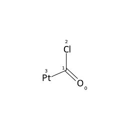 O=[C](Cl)[Pt]